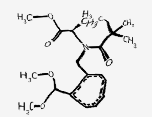 COC(=O)[C@@H](C)N(Cc1ccccc1C(OC)OC)C(=O)C(C)(C)C